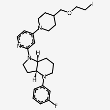 Fc1cccc(N2CCC[C@@H]3[C@H]2CCN3c2cc(N3CCC(COCCI)CC3)ccn2)c1